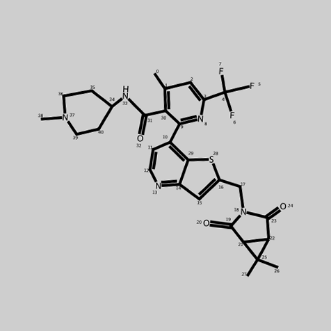 Cc1cc(C(F)(F)F)nc(-c2ccnc3cc(CN4C(=O)C5C(C4=O)C5(C)C)sc23)c1C(=O)NC1CCN(C)CC1